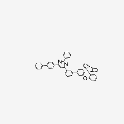 C1=CCCC(c2ccc(-c3cc(-c4cccc(-c5ccc6c(c5)Oc5ccccc5C65c6ccccc6-c6ccccc65)c4)nc(-c4ccccc4)n3)cc2)=C1